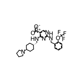 O=[N+]([O-])c1cnc(NCc2ccccc2OC(F)(F)F)nc1NC[C@H]1CC[C@H](N2CCCC2)CC1